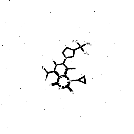 CC1=c2c(c(=O)[nH]c(=O)n2C2CC2)=C(C(F)F)C(F)C1N1CCC(C(N)(C(F)(F)F)C(F)(F)F)C1